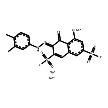 CC(=O)Nc1cc(S(=O)(=O)[O-])cc2c1C(=O)/C(=N/Nc1ccc(C)c(C)c1)C(S(=O)(=O)[O-])=C2.[Na+].[Na+]